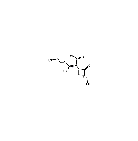 CC[C@@H]1CN(/C(C(=O)O)=C(\C)SCCN)C1=O